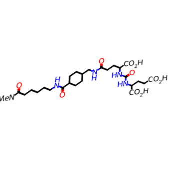 CNC(=O)CCCCCNC(=O)C1CCC(CNC(=O)CCC(NC(=O)NC(CCC(=O)O)C(=O)O)C(=O)O)CC1